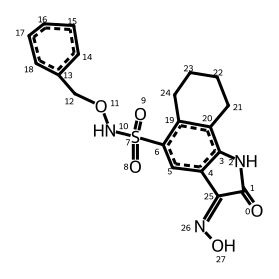 O=C1Nc2c(cc(S(=O)(=O)NOCc3ccccc3)c3c2CCCC3)C1=NO